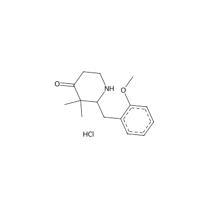 COc1ccccc1CC1NCCC(=O)C1(C)C.Cl